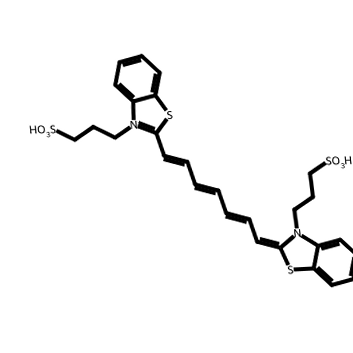 O=S(=O)(O)CCCN1C(=CC=CC=CC=Cc2sc3ccccc3[n+]2CCCS(=O)(=O)O)Sc2ccccc21